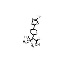 CC(C)(C)N(C(=O)O)C1CC=C(c2nnc(Br)s2)CC1